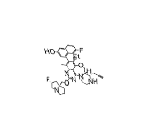 C#CC[C@@H]1NCCN2c3nc(OC[C@@]45CCCN4C[C@H](F)C5)nc4c(C)c(-c5cc(O)cc6ccc(F)c(CC)c56)c(F)c(c34)OC[C@H]12